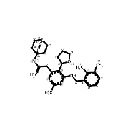 C=C(Cc1nc(C)nc(NCc2cccc(C(F)(F)F)c2C)c1C1CCCO1)NC12CCN(CC1)CC2